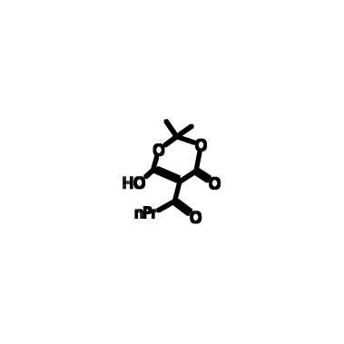 CCCC(=O)C1=C(O)OC(C)(C)OC1=O